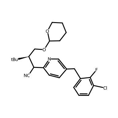 CC(C)(C)[C@@H](COC1CCCCO1)C(C#N)c1ccc(Cc2cccc(Cl)c2F)cn1